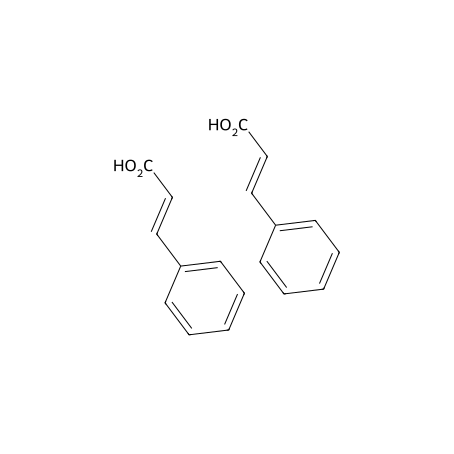 O=C(O)C=Cc1ccccc1.O=C(O)C=Cc1ccccc1